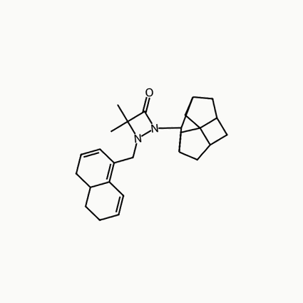 CC1(C)C(=O)N(C2C3CC4CC5CC2CC45C3)N1CC1=C2C=CCCC2CC=C1